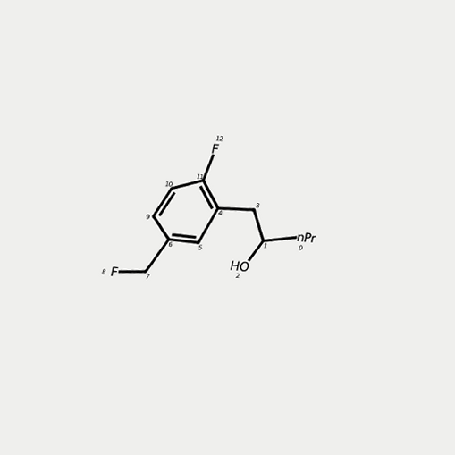 CCCC(O)Cc1cc(CF)ccc1F